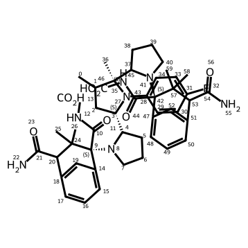 CC1C[C@@H](C2CCCN2[C@]2(C(=O)NC(=O)O)c3cccc(c3)C(C(N)=O)C2(C)C)N(c2ccc(F)cc2)[C@]1(C)C1CCCN1[C@]1(C(=O)NC(=O)O)c2cccc(c2)C(C(N)=O)C1(C)C